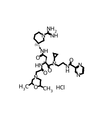 CC1CN(CC(=O)N[C@@H](CC(=O)NC[C@@H]2CCCN(C(=N)N)C2)C(=O)N(CCNC(=O)c2cnccn2)C2CC2)CC(C)O1.Cl